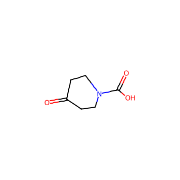 O=C1CCN(C(=O)O)CC1